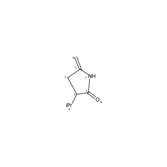 C=C1CC(C(C)C)C(=O)N1